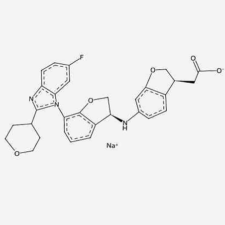 O=C([O-])C[C@@H]1COc2cc(N[C@@H]3COc4c3cccc4-n3c(C4CCOCC4)nc4ccc(F)cc43)ccc21.[Na+]